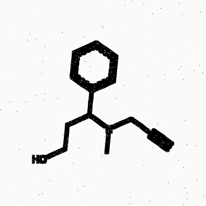 C#CCN(C)C(CCO)c1ccccc1